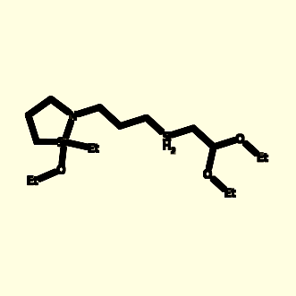 CCOC(C[SiH2]CCCN1CCC[Si]1(CC)OCC)OCC